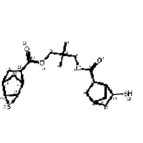 CC(C)(COC(=O)C1CC2CC(S)C1C2)COC(=O)C1CC2CC1C1SC21